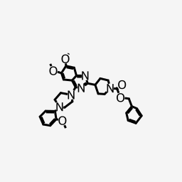 COc1cc2nc(C3CCN(C(=O)OCc4ccccc4)CC3)nc(N3CCN(c4ccccc4OC)CC3)c2cc1OC